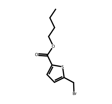 CCCCOC(=O)c1ccc(CBr)s1